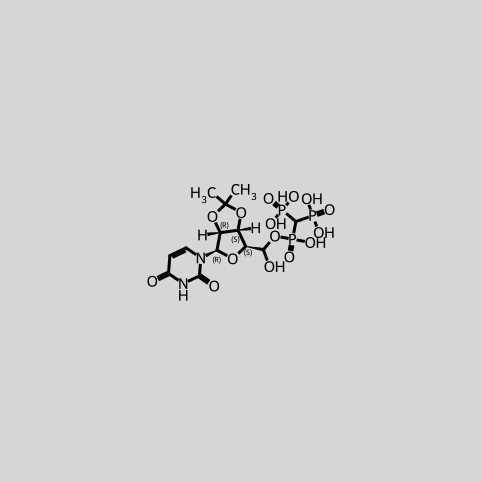 CC1(C)O[C@@H]2[C@H](O1)[C@@H](C(O)OP(=O)(O)C(P(=O)(O)O)P(=O)(O)O)O[C@H]2n1ccc(=O)[nH]c1=O